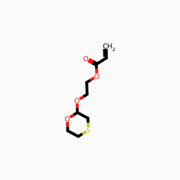 C=CC(=O)OCCOC1CSCCO1